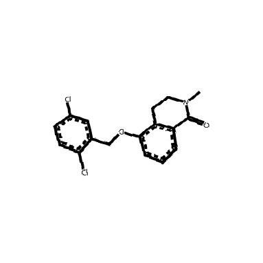 CN1CCc2c(OCc3cc(Cl)ccc3Cl)cccc2C1=O